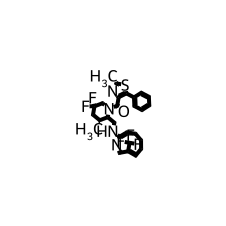 Cc1nc(C(=O)N2CC(F)(F)C[C@@H](C)C2CNC2=C/CCC/C=C(C(F)(F)F)/C=N\2)c(-c2ccccc2)s1